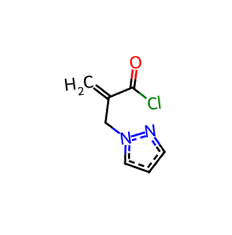 C=C(Cn1cccn1)C(=O)Cl